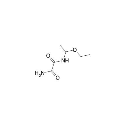 CCOC(C)NC(=O)C(N)=O